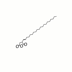 CCCCCCCCCCCCCCCCCCC=CC1CC(=O)OC1=O